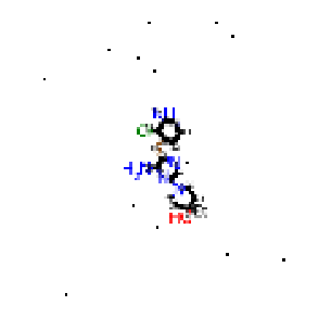 CCC1(O)CCN(c2cnc(Sc3cccc(N)c3Cl)c(N)n2)CC1